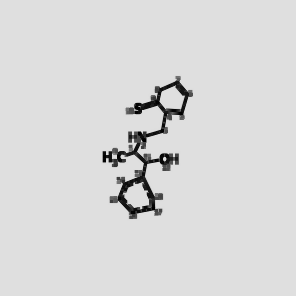 CC(NCC1=CC=CCC1=S)C(O)c1ccccc1